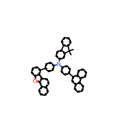 CC1(C)c2ccccc2-c2ccc(N(c3ccc(-c4cc5ccccc5c5ccccc45)cc3)c3ccc(-c4cccc5oc6c7ccccc7ccc6c45)cc3)cc21